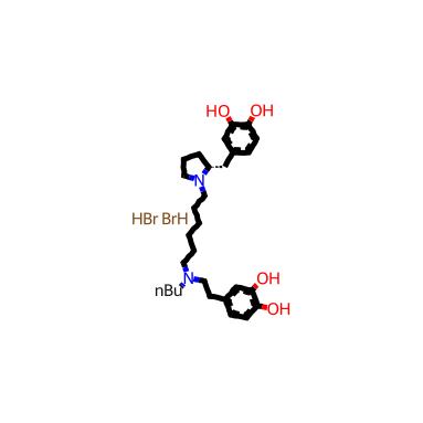 Br.Br.CCCCN(CCCCCCN1CCC[C@@H]1Cc1ccc(O)c(O)c1)CCc1ccc(O)c(O)c1